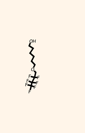 OCCCCCCOCC(F)(F)C(F)(F)C(F)(F)F